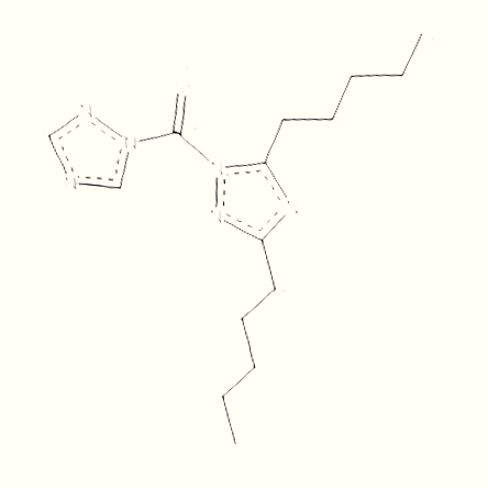 CCCCCc1nc(CCCCC)n(C(=O)n2cncn2)n1